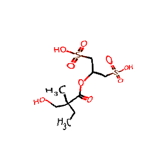 CCC(C)(CO)C(=O)OC(CS(=O)(=O)O)CS(=O)(=O)O